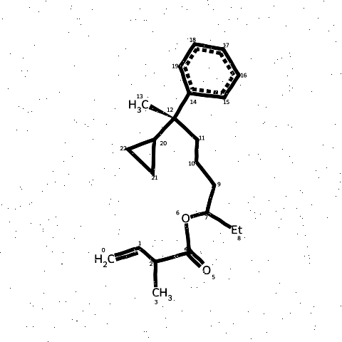 C=CC(C)C(=O)OC(CC)CCC[C@@](C)(c1ccccc1)C1CC1